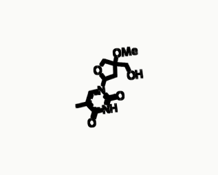 COC1(CO)COC(n2cc(C)c(=O)[nH]c2=O)C1